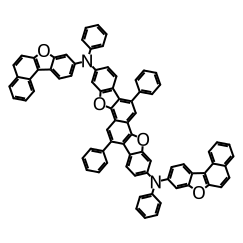 c1ccc(-c2cc3c(cc(-c4ccccc4)c4c5ccc(N(c6ccccc6)c6ccc7c(c6)oc6ccc8ccccc8c67)cc5oc34)c3oc4cc(N(c5ccccc5)c5ccc6c(c5)oc5ccc7ccccc7c56)ccc4c23)cc1